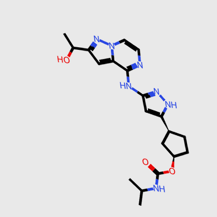 CC(C)NC(=O)O[C@@H]1CC[C@H](c2cc(Nc3nccn4nc(C(C)O)cc34)n[nH]2)C1